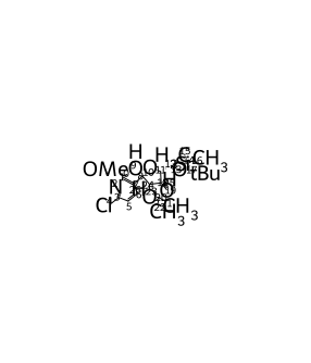 COc1nc(Cl)ccc1C1(O)O[C@H](CO[Si](C)(C)C(C)(C)C)[C@H]2OC(C)(C)O[C@H]21